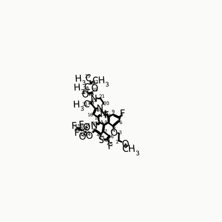 COCCOc1cc(F)cc(F)c1-c1c(-c2cc3n(n2)CCN(C(=O)OC(C)(C)C)[C@@H]3C)nc(OS(=O)(=O)C(F)(F)F)c2sc(F)cc12